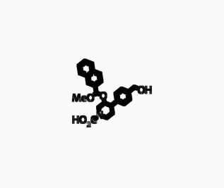 COC(OC1CN(C(=O)O)CCC1c1ccc(CO)cc1)c1ccc2ccccc2c1